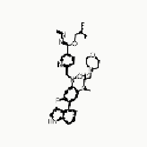 C=N/N=C(\OCC(F)F)c1ccc(CN(C=O)c2cc(F)c(-c3cccc4[nH]ccc34)cc2N(C)CCN2CCOCC2)nc1